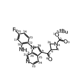 CC(C)(C)OC(=O)N1CC(C(=O)c2cn(-c3ccc(F)cc3N)c3cnccc23)C1